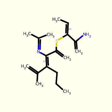 C=C(N)/C(=C/C)SC(=C)/C(N=C(C)C)=C(\CCC)C(=C)C